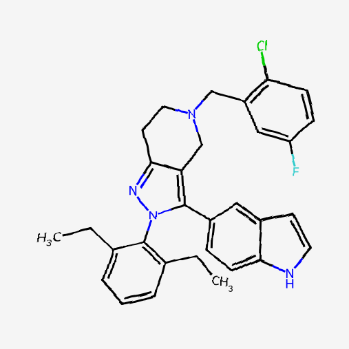 CCc1cccc(CC)c1-n1nc2c(c1-c1ccc3[nH]ccc3c1)CN(Cc1cc(F)ccc1Cl)CC2